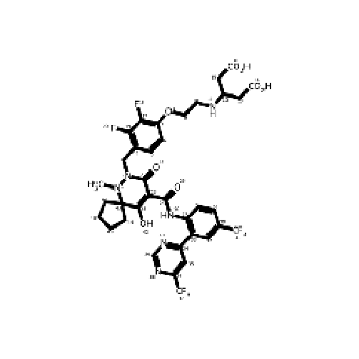 CN1N(Cc2ccc(OCCNC(CC(=O)O)CC(=O)O)c(F)c2F)C(=O)C(C(=O)Nc2ccc(C(F)(F)F)cc2-c2cc(C(F)(F)F)ncn2)=C(O)C12CCCC2